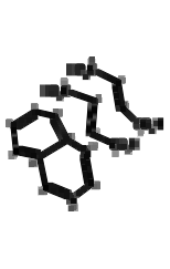 O=C(O)/C=C/C(=O)O.O=C(O)/C=C/C(=O)O.c1ccc2ncncc2c1